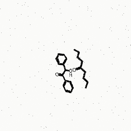 CCCCC(=O)CCCC.O=C(c1ccccc1)C(O)c1ccccc1